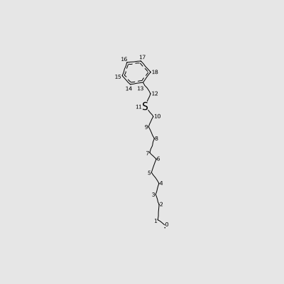 [CH2]CCCCCCCCCCSCc1ccccc1